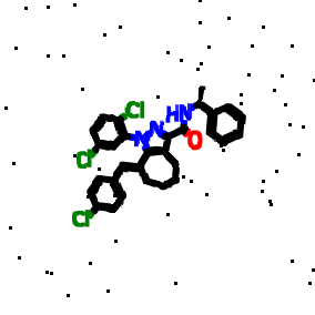 C[C@H](NC(=O)c1nn(-c2cc(Cl)ccc2Cl)c2c1CCCC/C2=C\c1ccc(Cl)cc1)c1ccccc1